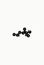 CC1(C)c2ccccc2-c2c(-c3ccccn3)cc3c(c21)c1ccc(-c2cccc(-c4cc(-c5ccccc5)ccn4)c2)cc1n3-c1ccccc1